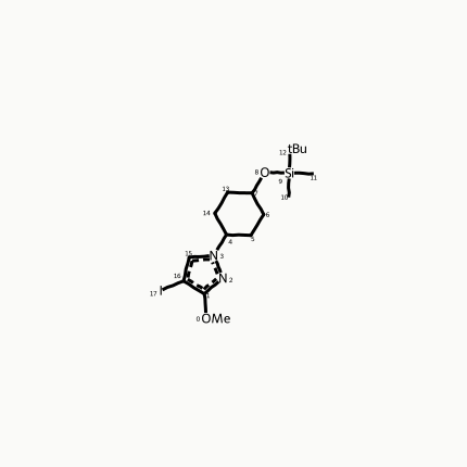 COc1nn(C2CCC(O[Si](C)(C)C(C)(C)C)CC2)cc1I